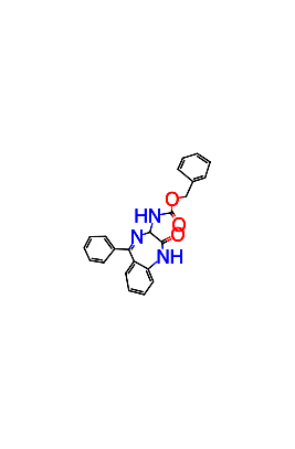 O=C(NC1N=C(c2ccccc2)c2ccccc2NC1=O)OCc1ccccc1